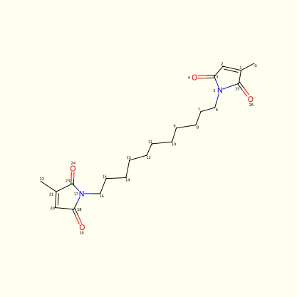 CC1=CC(=O)N(CCCCCCCCCCCN2C(=O)C=C(C)C2=O)C1=O